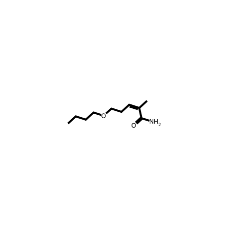 CCCCOCCC=C(C)C(N)=O